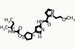 CC[C@H](C)NC(=O)O[C@@H]1CC[C@H](c2cc(NC(=O)c3ccnn3CCOC)n[nH]2)C1